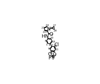 O=C(Nc1ccc(-c2cc3c(cc2Cl)OC(F)(F)O3)cc1)c1cccn1C1CC1